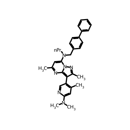 CCCN(Cc1ccc(-c2ccccc2)cc1)c1cc(C)nc2c(-c3cnc(N(C)C)cc3C)c(C)nn12